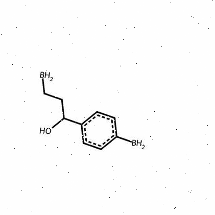 BCCC(O)c1ccc(B)cc1